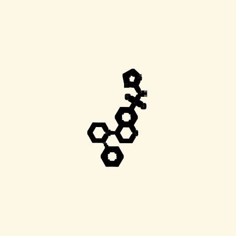 O=S(=O)(Nc1nccs1)c1ccc2c(c1)OCC[C@H]2N1CCCC[C@H]1c1ccccc1